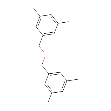 Cc1cc(C)cc(COCc2cc(C)cc(C)c2)c1